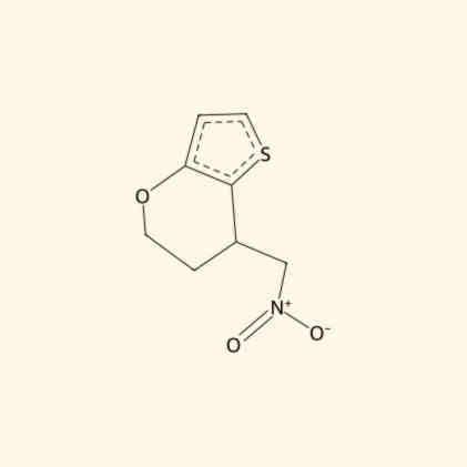 O=[N+]([O-])CC1CCOc2ccsc21